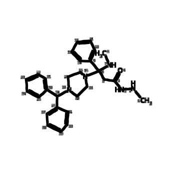 CNNC(=O)CC(NC)(c1ccccc1)N1CCN(C(c2ccccc2)c2ccccc2)CC1